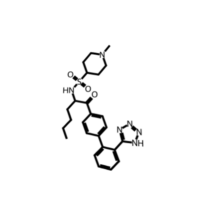 CCCCC(NS(=O)(=O)C1CCN(C)CC1)C(=O)c1ccc(-c2ccccc2-c2nnn[nH]2)cc1